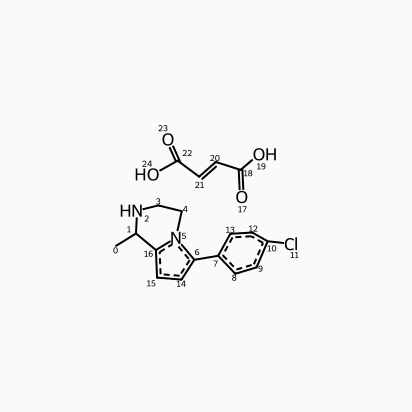 CC1NCCn2c(-c3ccc(Cl)cc3)ccc21.O=C(O)C=CC(=O)O